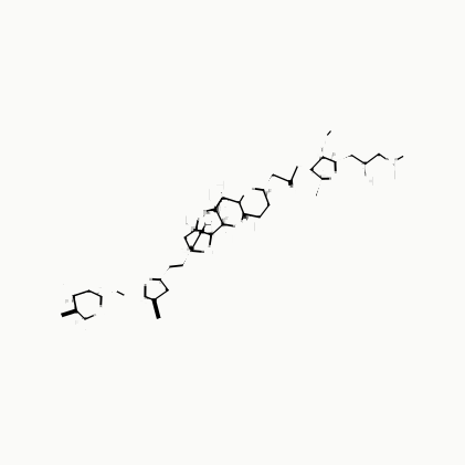 C=C1C[C@H](CC[C@@]23C[C@H]4O[C@@H]5[C@@H](O[C@H]6CC[C@H](CC(=O)C[C@@H]7[C@@H](OC)[C@@H](C[C@H](O)CNC)O[C@H]7C)OC6[C@@H]5O2)[C@H]4O3)O[C@H]1CC[C@H]1C[C@@H](C)C(=C)[C@@H](C)O1